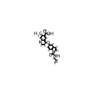 Cc1cc2nccc(Oc3ccc4c(ccn4C(=O)NCCF)c3)c2cc1C(=O)O